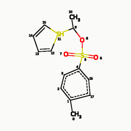 Cc1ccc(S(=O)(=O)OC(C)[SH]2C=CC=C2)cc1